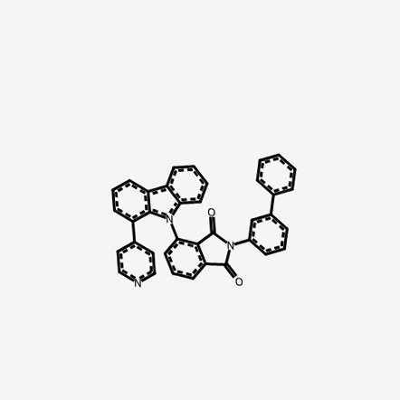 O=C1c2cccc(-n3c4ccccc4c4cccc(-c5ccncc5)c43)c2C(=O)N1c1cccc(-c2ccccc2)c1